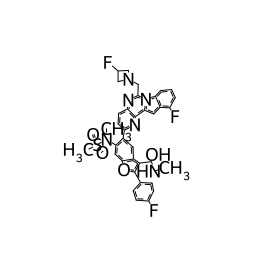 CNC(O)c1c(-c2ccc(F)cc2)oc2cc(N(C)S(C)(=O)=O)c(-c3ccc4nc(CN5CC(F)C5)n5c6cccc(F)c6cc5c4n3)cc12